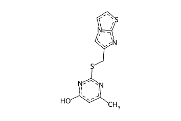 Cc1cc(O)nc(SCc2cn3ccsc3n2)n1